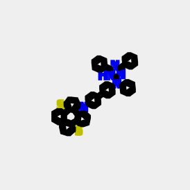 c1ccc(C2=NC(c3ccccc3)NC(N(c3ccccc3)c3ccc(-c4ccc(-n5c6ccc7sc8ccccc8c7c6c6c7c(ccc65)sc5ccccc57)cc4)cc3)=N2)cc1